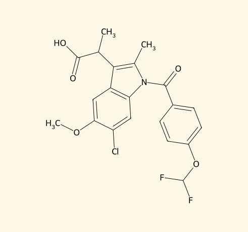 COc1cc2c(C(C)C(=O)O)c(C)n(C(=O)c3ccc(OC(F)F)cc3)c2cc1Cl